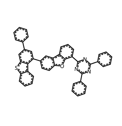 c1ccc(-c2cc(-c3ccc4oc5c(-c6nc(-c7ccccc7)nc(-c7ccccc7)n6)cccc5c4c3)c3c(c2)sc2ccccc23)cc1